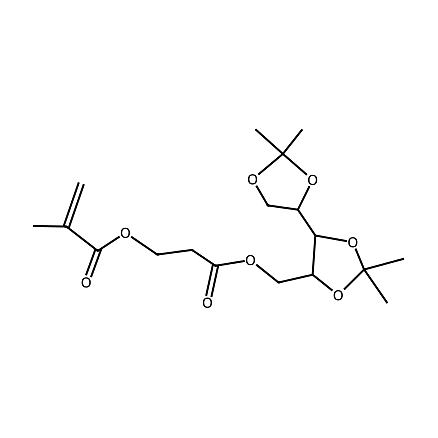 C=C(C)C(=O)OCCC(=O)OCC1OC(C)(C)OC1C1COC(C)(C)O1